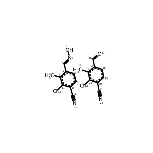 Cc1c(C=NO)ccc(C#N)c1Cl.Cc1c(C=O)ccc(C#N)c1Cl